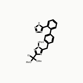 CCCCCn1nc(C(CC)(OC)OC)nc1Cc1ccc(-c2ccccc2-c2nnn[nH]2)cc1